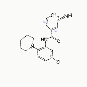 C/C=C\C(=C/C=N)C(=O)Nc1cc(Cl)ccc1N1CCCCC1